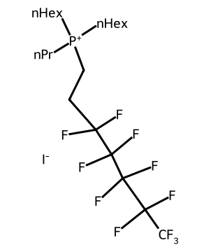 CCCCCC[P+](CCC)(CCCCCC)CCC(F)(F)C(F)(F)C(F)(F)C(F)(F)C(F)(F)F.[I-]